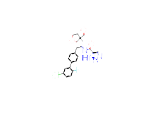 O=CC1(C[C@@H](Cc2ccc(-c3cc(Cl)ccc3F)cc2)NC(=O)c2cnn[nH]2)CCOC1